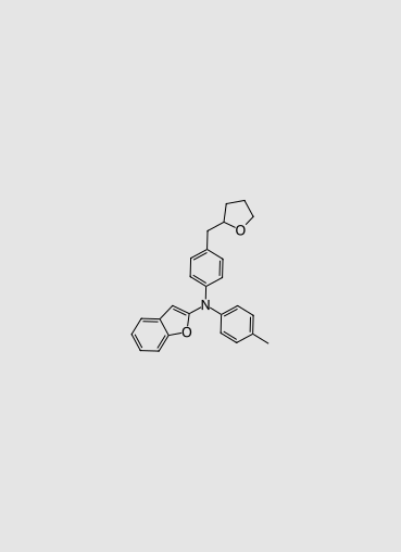 Cc1ccc(N(c2ccc(CC3CCCO3)cc2)c2cc3ccccc3o2)cc1